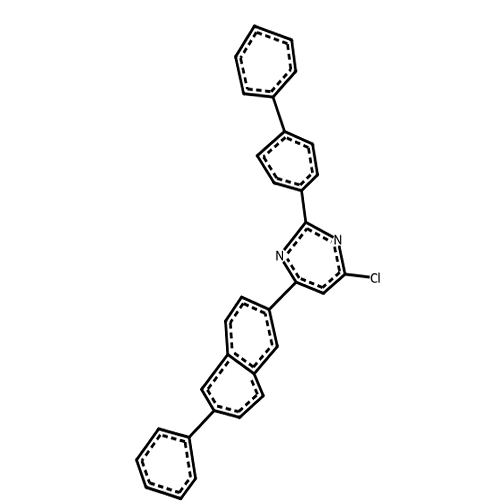 Clc1cc(-c2ccc3cc(-c4ccccc4)ccc3c2)nc(-c2ccc(-c3ccccc3)cc2)n1